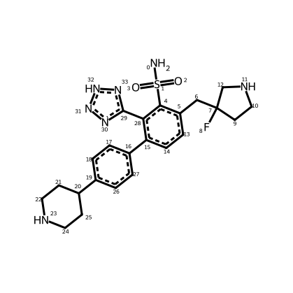 NS(=O)(=O)c1c(CC2(F)CCNC2)ccc(-c2ccc(C3CCNCC3)cc2)c1-c1nn[nH]n1